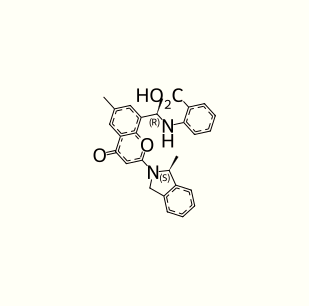 Cc1cc([C@@H](C)Nc2ccccc2C(=O)O)c2oc(N3Cc4ccccc4[C@@H]3C)cc(=O)c2c1